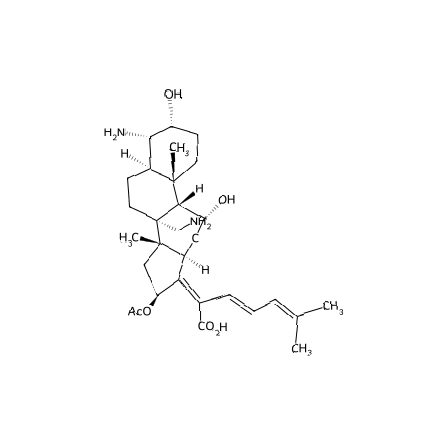 CC(=O)O[C@H]1C[C@@]2(C)[C@@H](C[C@@H](O)[C@H]3[C@@]4(C)CC[C@@H](O)[C@@H](N)[C@@H]4CC[C@@]32CN)/C1=C(\C=C\C=C(C)C)C(=O)O